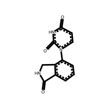 O=C1NCc2c1cccc2-n1ccc(=O)[nH]c1=O